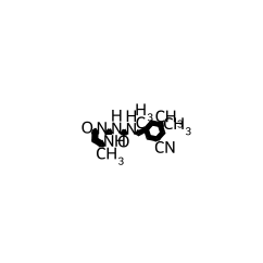 Cc1cc(=O)nc(NC(=O)NCC2(C)CC(C#N)CC(C)(C)C2)[nH]1